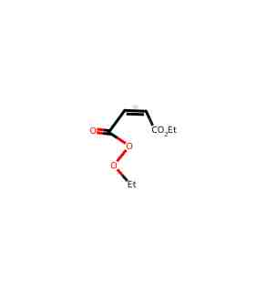 CCOOC(=O)/C=C\C(=O)OCC